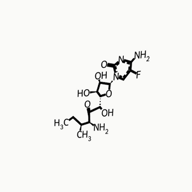 CC[C@H](C)[C@H](N)C(=O)C(O)[C@H]1O[C@@H](n2cc(F)c(N)nc2=O)[C@H](O)[C@@H]1O